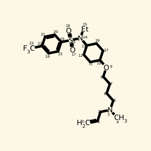 C=CCN(C)CCCCOC1CCC(N(CC)S(=O)(=O)c2ccc(C(F)(F)F)cc2)CC1